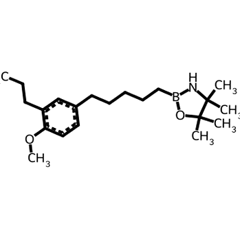 CCCc1cc(CCCCCB2NC(C)(C)C(C)(C)O2)ccc1OC